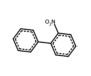 O=[N+]([O-])c1c[c]ccc1-c1ccccc1